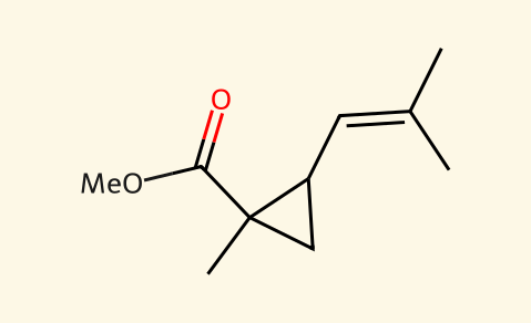 COC(=O)C1(C)CC1C=C(C)C